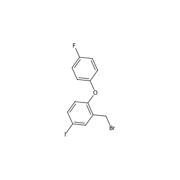 Fc1ccc(Oc2ccc(I)cc2CBr)cc1